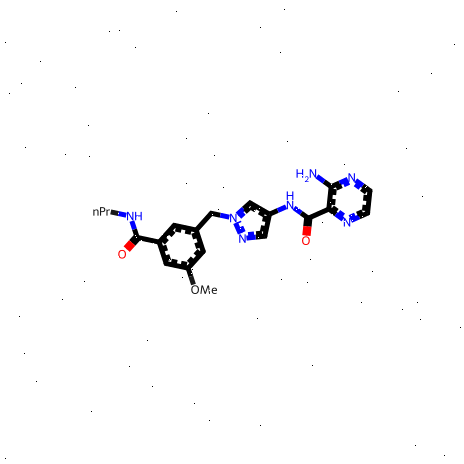 CCCNC(=O)c1cc(Cn2cc(NC(=O)c3nccnc3N)cn2)cc(OC)c1